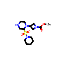 CC(C)(C)OC(=O)N1CC(N2CCNCC2S(=O)(=O)N2CCCCC2)C1